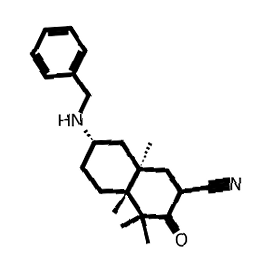 CC1(C)C(=O)C(C#N)C[C@]2(C)C[C@@H](NCc3ccccc3)CC[C@@]12C